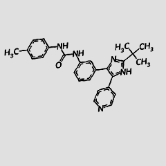 Cc1ccc(NC(=O)Nc2cccc(-c3nc(C(C)(C)C)[nH]c3-c3ccncc3)c2)cc1